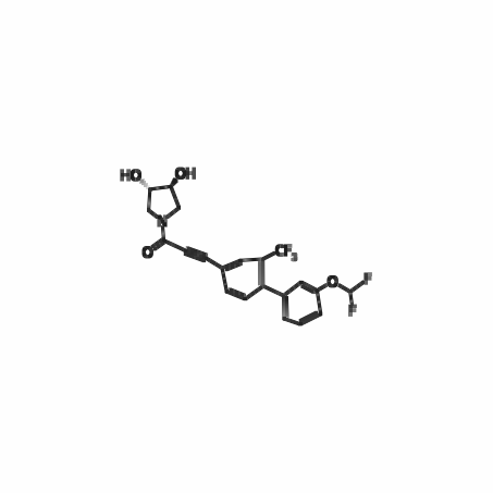 O=C(C#Cc1ccc(-c2cccc(OC(F)F)c2)c(C(F)(F)F)c1)N1C[C@H](O)[C@@H](O)C1